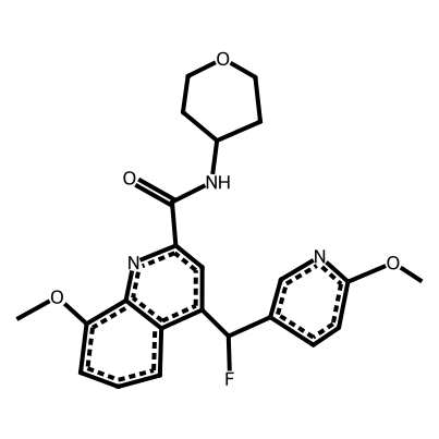 COc1ccc(C(F)c2cc(C(=O)NC3CCOCC3)nc3c(OC)cccc23)cn1